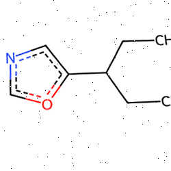 CCC(CC)c1cnco1